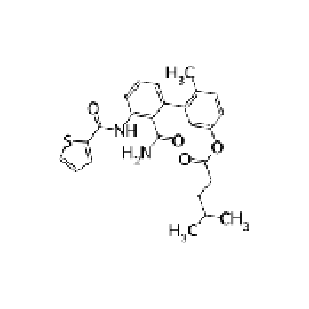 Cc1ccc(OC(=O)CCC(C)C)cc1-c1cccc(NC(=O)c2cccs2)c1C(N)=O